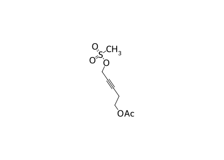 CC(=O)OCCC#CCOS(C)(=O)=O